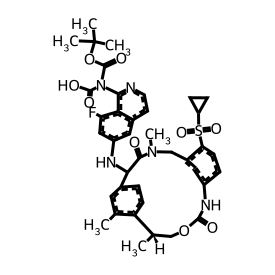 Cc1cc2ccc1[C@@H](C)COC(=O)Nc1ccc(S(=O)(=O)C3CC3)c(c1)CN(C)C(=O)C2Nc1cc(F)c2c(N(C(=O)O)C(=O)OC(C)(C)C)nccc2c1